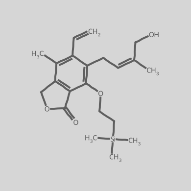 C=Cc1c(C)c2c(c(OCC[Si](C)(C)C)c1CC=C(C)CO)C(=O)OC2